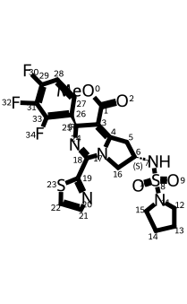 COC(=O)C1=C2C[C@H](NS(=O)(=O)N3CCCC3)CN2C(c2nccs2)=N[C@H]1c1ccc(F)c(F)c1F